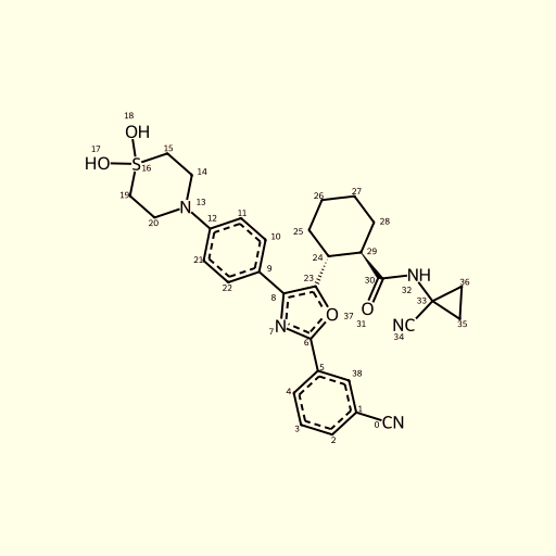 N#Cc1cccc(-c2nc(-c3ccc(N4CCS(O)(O)CC4)cc3)c([C@@H]3CCCC[C@H]3C(=O)NC3(C#N)CC3)o2)c1